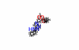 CC(=O)OC1CC(n2ccc3c(N[C@H]4CCc5ccccc54)ncnc32)CC1CO[Si](C)(C)C(C)(C)C